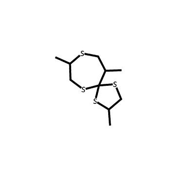 CC1CSC2(SCC(C)S2)C(C)CS1